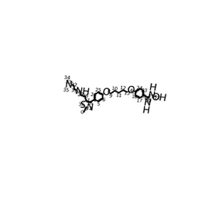 Cc1nc(-c2ccc(OCCCCCOc3ccc(C(=N)NO)cc3)cc2)c(CCNCCN(C)C)s1